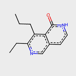 CCCc1c(CC)ncc2cc[nH]c(=O)c12